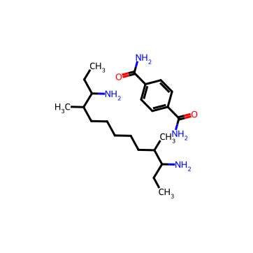 CCC(N)C(C)CCCCCC(C)C(N)CC.NC(=O)c1ccc(C(N)=O)cc1